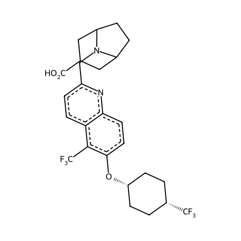 O=C(O)C1CC2CCC(C1)N2Cc1ccc2c(C(F)(F)F)c(O[C@H]3CC[C@@H](C(F)(F)F)CC3)ccc2n1